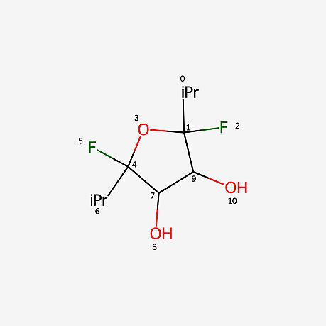 CC(C)C1(F)OC(F)(C(C)C)C(O)C1O